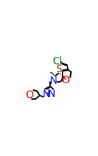 C[C@H]1C[C@@]2(CCN1Cc1cnn(CC3CCOCC3)c1)OCCc1cc(Cl)sc12